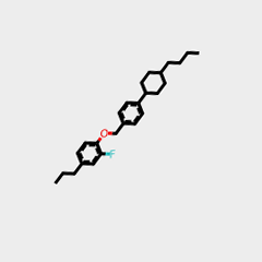 CCCCC1CCC(c2ccc(COc3ccc(CCC)cc3F)cc2)CC1